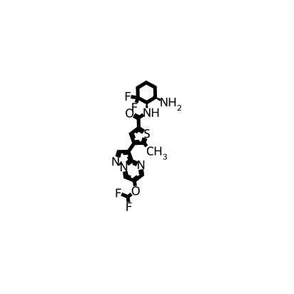 Cc1sc(C(=O)N[C@@H]2[C@H](N)CCCC2(F)F)cc1-c1cnn2cc(OC(F)F)cnc12